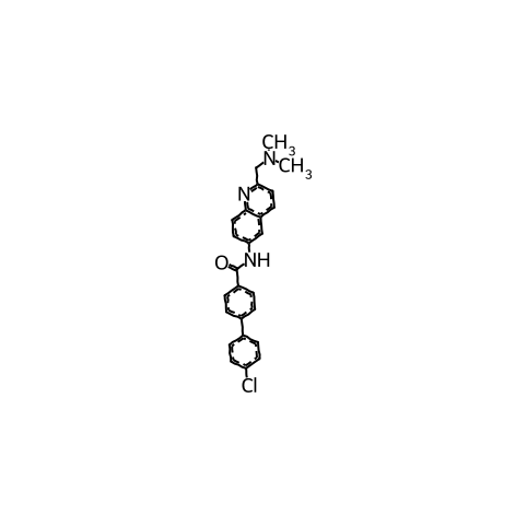 CN(C)Cc1ccc2cc(NC(=O)c3ccc(-c4ccc(Cl)cc4)cc3)ccc2n1